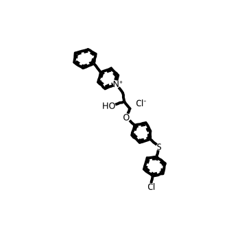 OC(COc1ccc(Sc2ccc(Cl)cc2)cc1)C[n+]1ccc(-c2ccccc2)cc1.[Cl-]